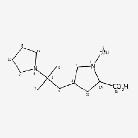 CC(C)(C)N1CC(CC(C)(C)N2CCCC2)CC1C(=O)O